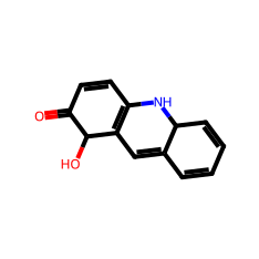 O=C1C=CC2=C(C=C3C=CC=CC3N2)C1O